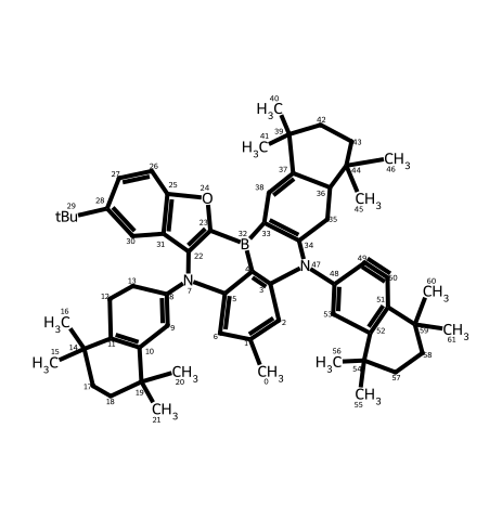 Cc1cc2c3c(c1)N(C1=CC4=C(CC1)C(C)(C)CCC4(C)C)c1c(oc4ccc(C(C)(C)C)cc14)B3C1=C(CC3C(=C1)C(C)(C)CCC3(C)C)N2c1c#cc2c(c1)C(C)(C)CCC2(C)C